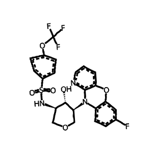 O=S(=O)(N[C@@H]1COC[C@H](N2c3ccc(F)cc3Oc3cccnc32)[C@H]1O)c1ccc(OC(F)(F)F)cc1